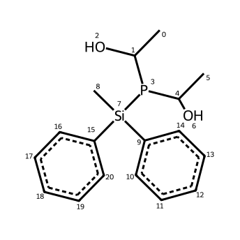 CC(O)P(C(C)O)[Si](C)(c1ccccc1)c1ccccc1